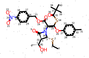 CCS[C@@H]1[C@@H]([C@@H](C)O)C(=O)N1C(C(=O)OCc1ccc([N+](=O)[O-])cc1)=C(Oc1ccc(C)cc1)SC(=O)C(C)(C)C